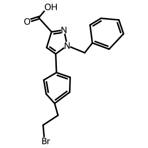 O=C(O)c1cc(-c2ccc(CCBr)cc2)n(Cc2ccccc2)n1